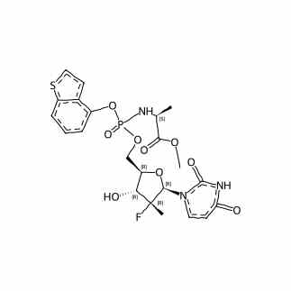 COC(=O)[C@H](C)NP(=O)(OC[C@H]1O[C@@H](n2ccc(=O)[nH]c2=O)[C@](C)(F)[C@@H]1O)Oc1cccc2sccc12